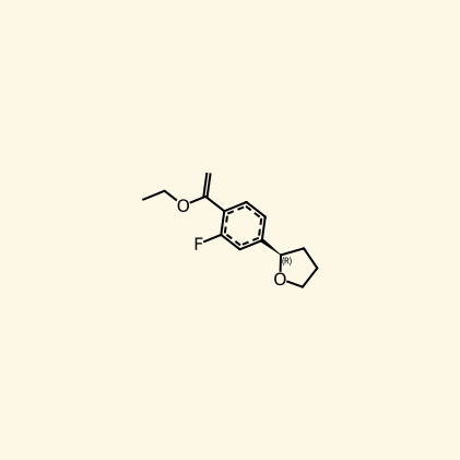 C=C(OCC)c1ccc([C@H]2CCCO2)cc1F